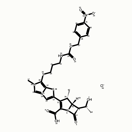 C[C@@H](O)[C@H]1C(=O)N2C(C(=O)O)=C(c3c[n+]4cn(C)c(SCCCNC(=O)OCc5ccc([N+](=O)[O-])cc5)c4s3)[C@H](C)[C@H]12.[Cl-]